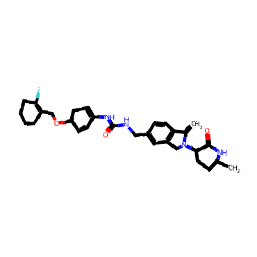 C=C1c2ccc(CNC(=O)NC3=CCC(OCC4=C(F)CCCC4)C=C3)cc2CN1C1CCC(C)NC1=O